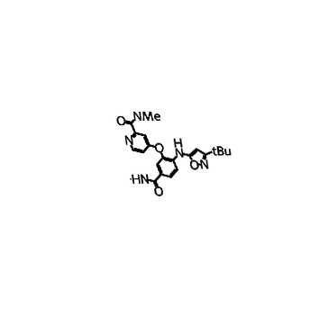 CNC(=O)c1cc(Oc2cc(C([NH])=O)ccc2Nc2cc(C(C)(C)C)no2)ccn1